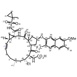 CC[C@@H]1C[C@H](C)CC/C=C\[C@@H]2C[C@@]2(C(=O)NS(=O)(=O)C2(C)CC2)NC(=O)[C@@H]2C[C@@H](Oc3nc4cc(OC)c(F)cc4nc3C(F)(F)F)CN2C(=O)[C@H]1NC(=O)O